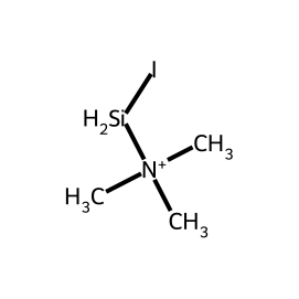 C[N+](C)(C)[SiH2]I